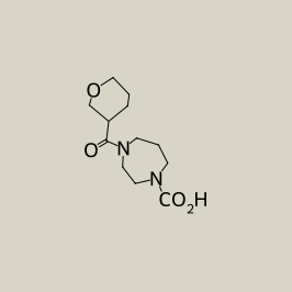 O=C(O)N1CCCN(C(=O)C2CCCOC2)CC1